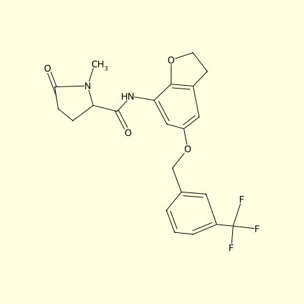 CN1C(=O)CCC1C(=O)Nc1cc(OCc2cccc(C(F)(F)F)c2)cc2c1OCC2